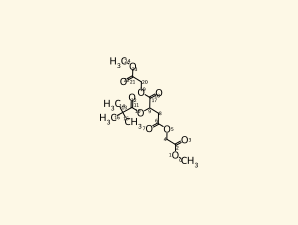 COC(=O)COC(=O)CC(OC(=O)C(C)(C)C)C(=O)OCC(=O)OC